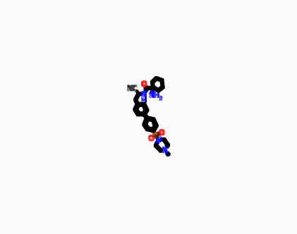 CN1CCN(S(=O)(=O)c2ccc(-c3ccc(C[C@@H](C#N)NC(=O)C4(N)CCCCC4)cc3)cc2)CC1